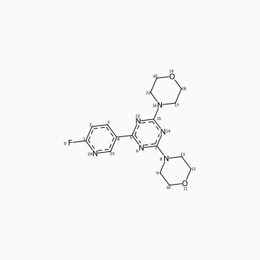 Fc1ccc(-c2nc(N3CCOCC3)nc(N3CCOCC3)n2)cn1